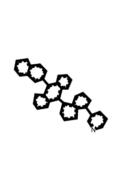 c1cncc(-c2cccc3c(-c4c5ccccc5c(-c5ccc6ccccc6c5)c5ccccc45)cccc23)c1